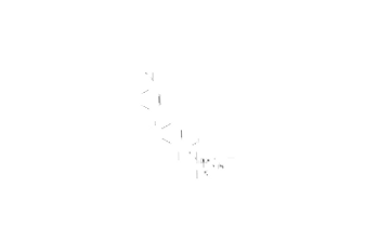 Nc1ccc(Oc2ccc(C(=O)N[C@@H]3C[C@H]4CC[C@@H]3N4)cc2)cc1